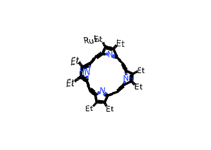 CCC1=C(CC)c2cc3[nH]c(cc4nc(cc5[nH]c(cc1n2)c(CC)c5CC)C(CC)=C4CC)c(CC)c3CC.[Ru+2]